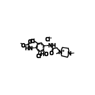 COC(=O)Nc1c(Cl)cc(NC(=O)C[N+]2(C)CCN(C)CC2)c(O)c1Cl.[Cl-]